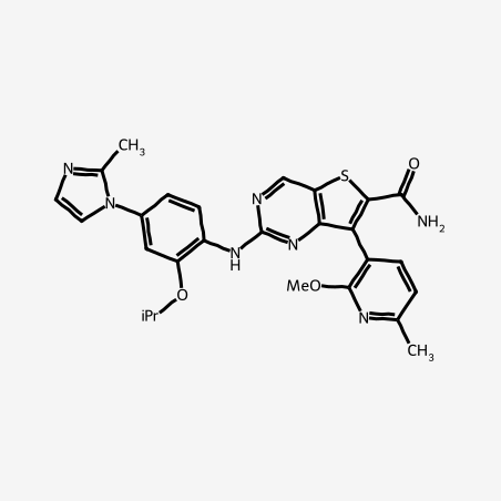 COc1nc(C)ccc1-c1c(C(N)=O)sc2cnc(Nc3ccc(-n4ccnc4C)cc3OC(C)C)nc12